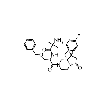 CC(C)(N)C(=O)N[C@H](COCc1ccccc1)C(=O)N1CCN2C(=O)CC(=O)[C@]2(Cc2ccc(F)cc2)C1